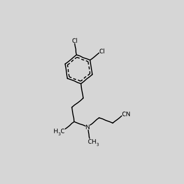 CC(CCc1ccc(Cl)c(Cl)c1)N(C)CCC#N